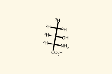 [2H]C([2H])([2H])[C@@]([2H])(O)[C@]([2H])(N)C(=O)O